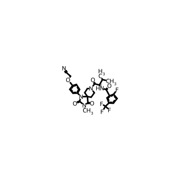 CC(C)[C@@H](NC(=O)c1cc(C(F)(F)F)ccc1F)C(=O)N1CCC2(CC1)C(=O)N(C)C(=O)N2c1ccc(OCC#N)cc1